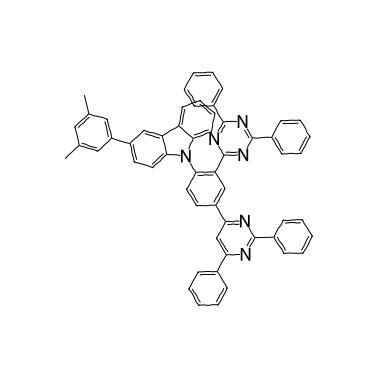 Cc1cc(C)cc(-c2ccc3c(c2)c2ccccc2n3-c2ccc(-c3cc(-c4ccccc4)nc(-c4ccccc4)n3)cc2-c2nc(-c3ccccc3)nc(-c3ccccc3)n2)c1